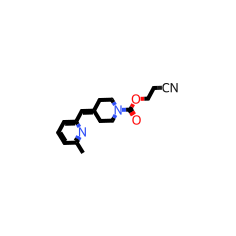 Cc1cccc(C=C2CCN(C(=O)OCCC#N)CC2)n1